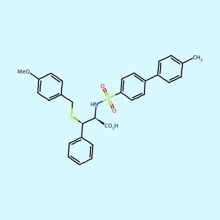 COc1ccc(CS[C@H](c2ccccc2)[C@@H](NS(=O)(=O)c2ccc(-c3ccc(C)cc3)cc2)C(=O)O)cc1